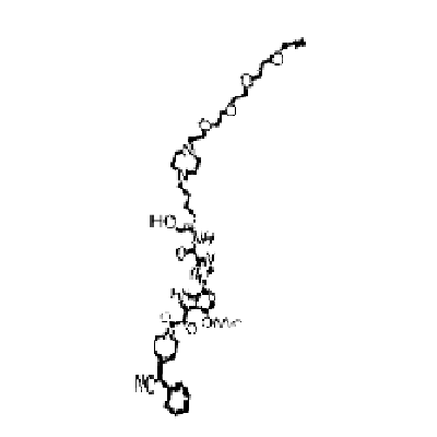 C#CCOCCOCCOCCOCCN1CCN(CCCC[C@@H](CO)NC(=O)c2ncn(-c3ncc(OC)c4c(C(=O)C(=O)N5CCC(=C(C#N)c6ccccc6)CC5)c[nH]c34)n2)CC1